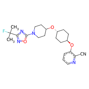 CC(C)(F)c1noc(N2CCC(O[C@H]3CC[C@H](Oc4cccnc4C#N)CC3)CC2)n1